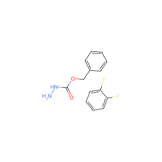 Fc1ccccc1F.NNC(=O)OCc1ccccc1